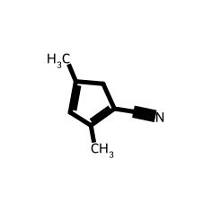 CC1=CC(C)=C(C#N)C1